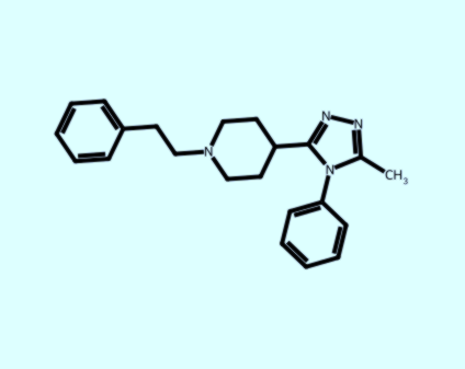 Cc1nnc(C2CCN(CCc3ccccc3)CC2)n1-c1ccccc1